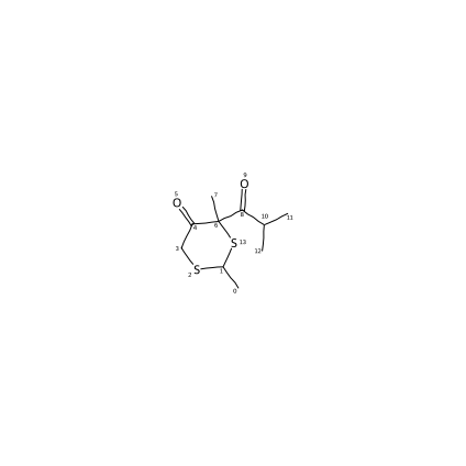 CC1SCC(=O)C(C)(C(=O)C(C)C)S1